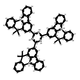 CC1(C)c2ccccc2-n2c3ccccc3c3cc(-c4nc(-c5cc6c7c(c5)c5ccccc5n7-c5ccccc5C6(C)C)nc(-c5cc6c7c(c5)c5ccccc5n7-c5ccccc5C6(C)C)n4)cc1c32